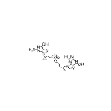 Nc1nc(O)c2ncn(CC3(C=CO[PH](=O)OC=CC4(Cn5cnc6c(O)nc(N)nc65)CC4)CC3)c2n1